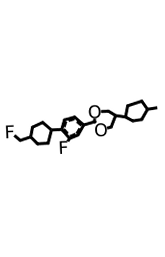 CC1CCC(C2COC(c3ccc(C4CCC(CF)CC4)c(F)c3)OC2)CC1